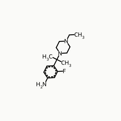 CCN1CCN(C(C)(C)c2ccc(N)cc2F)CC1